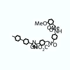 COc1cccc(CC(=O)Nc2ccc(C(=O)N(CC(=O)O)Cc3ccc(-c4noc(-c5ccc(-c6ccc(C)cc6)cc5)n4)cc3)cc2)c1OC